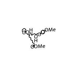 COC(=O)CCCCCCC(COC1CCCCO1)NCCC(O)COc1ccc(OC)cc1